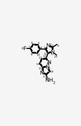 Cc1nc(-c2ccc(F)cc2)c(-c2ccc3nc(N)cn3n2)n1C